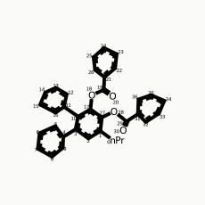 CCCc1cc(-c2ccccc2)c(-c2ccccc2)c(OC(=O)c2ccccc2)c1OC(=O)c1ccccc1